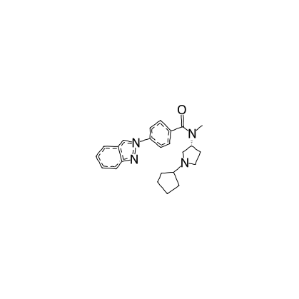 CN(C(=O)c1ccc(-n2cc3ccccc3n2)cc1)[C@@H]1CCN(C2CCCC2)C1